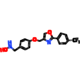 ONCc1ccc(OCc2coc(-c3ccc(C(F)(F)F)cc3)n2)cc1